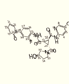 O=C(Nc1ccc(Cl)cn1)[C@@H]1[C@H](C(=O)Nc2ccc(-n3ccccc3=O)cc2F)[C@H]1C(=O)N1CCC(O)C1